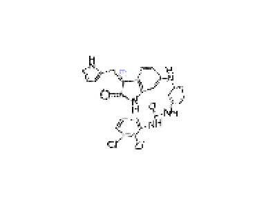 O=C(Nc1cccc(Nc2ccc3c(c2)NC(=O)/C3=C\c2ccc[nH]2)c1)Nc1cccc(Cl)c1Cl